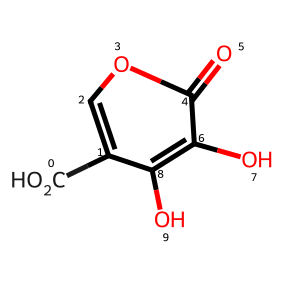 O=C(O)c1coc(=O)c(O)c1O